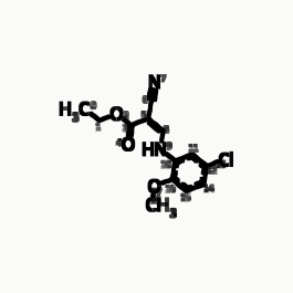 CCOC(=O)/C(C#N)=C\Nc1cc(Cl)ccc1OC